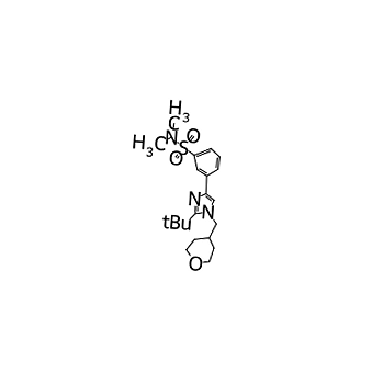 CN(C)S(=O)(=O)c1cccc(-c2cn(CC3CCOCC3)c(C(C)(C)C)n2)c1